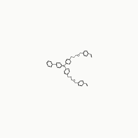 C=Cc1ccc(COCCCc2ccc(N(c3ccc(CCCOCc4ccc(C=C)cc4)cc3)c3ccc(-c4ccccc4)cc3)cc2)cc1